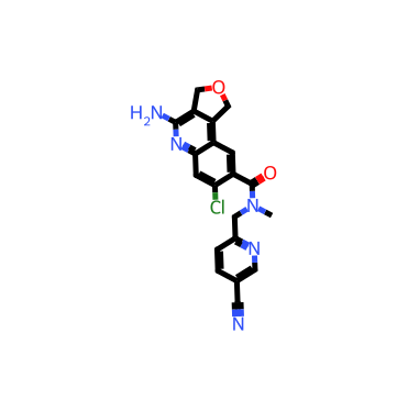 CN(Cc1ccc(C#N)cn1)C(=O)c1cc2c3c(c(N)nc2cc1Cl)COC3